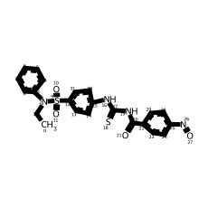 CCN(c1ccccc1)S(=O)(=O)c1ccc(NC(=S)NC(=O)c2ccc(N=O)cc2)cc1